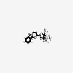 CC1(C)OB(C2CCn3nc4ccccc4c3O2)OC1(C)C